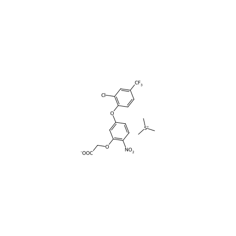 C[S+](C)C.O=C([O-])COc1cc(Oc2ccc(C(F)(F)F)cc2Cl)ccc1[N+](=O)[O-]